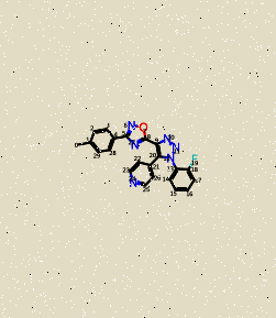 Cc1ccc(-c2noc(-c3nnn(-c4ccccc4F)c3-c3ccncc3)n2)cc1